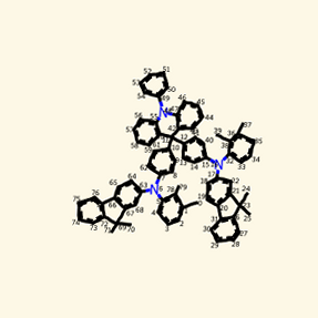 Cc1cccc(N(c2ccc(C3(c4ccc(N(c5ccc6c(c5)C(C)(C)c5ccccc5-6)c5cccc(C)c5C)cc4)c4ccccc4N(c4ccccc4)c4ccccc43)cc2)c2ccc3c(c2)C(C)(C)c2ccccc2-3)c1C